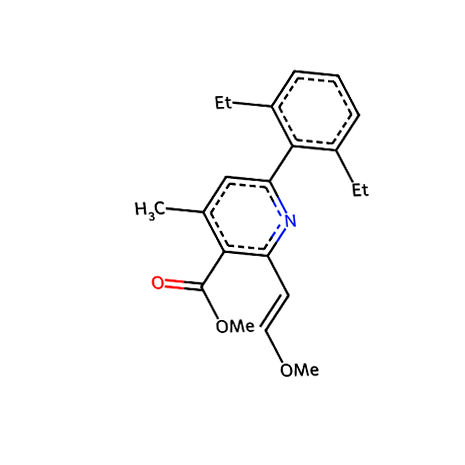 CCc1cccc(CC)c1-c1cc(C)c(C(=O)OC)c(/C=C/OC)n1